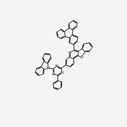 c1ccc(-c2nc(-c3ccc4c(c3)nc(-c3ccc5c6ccccc6c6ccccc6c5c3)c3c5ccccc5oc43)nc(-n3c4ccccc4c4ccccc43)n2)cc1